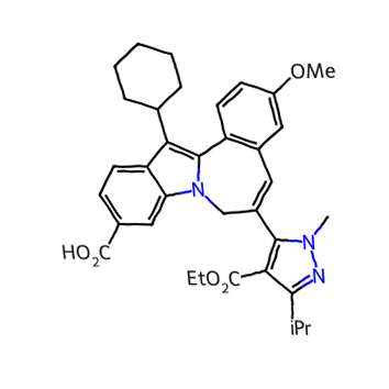 CCOC(=O)c1c(C(C)C)nn(C)c1C1=Cc2cc(OC)ccc2-c2c(C3CCCCC3)c3ccc(C(=O)O)cc3n2C1